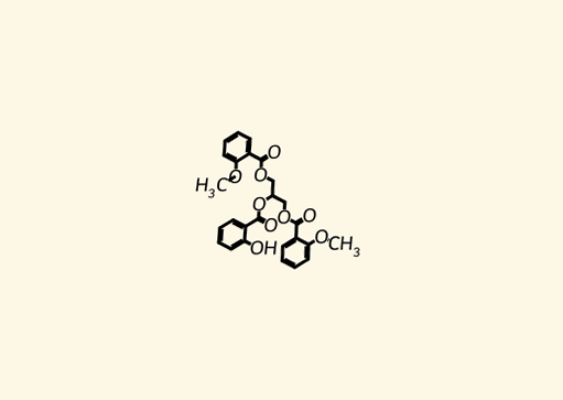 COc1ccccc1C(=O)OCC(COC(=O)c1ccccc1OC)OC(=O)c1ccccc1O